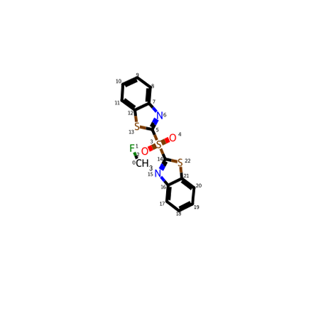 CF.O=S(=O)(c1nc2ccccc2s1)c1nc2ccccc2s1